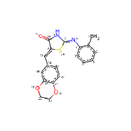 Bc1ccccc1/N=C1/NC(=O)/C(=C/c2ccc3c(c2)OCCO3)S1